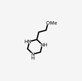 COCCC1NCNCN1